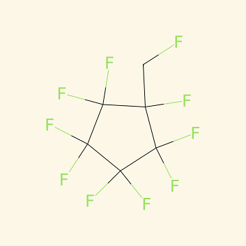 FCC1(F)C(F)(F)C(F)(F)C(F)(F)C1(F)F